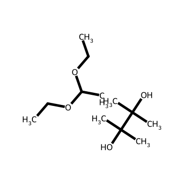 CC(C)(O)C(C)(C)O.CCOC(C)OCC